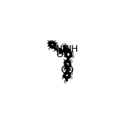 Cc1ccc(S(=O)(=O)N2CCC(C3CCN4NC(C)C(C(=O)NCc5ccccc5)C4C3)CC2)cc1